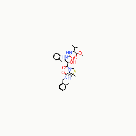 COC(=O)C(NC(=O)N[C@@H](Cc1ccccc1)[C@H](O)C(=O)N1CSC(C)(C)[C@H]1C(=O)NCc1ccccc1C)C(C)C